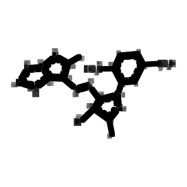 Cc1nn(-c2cc(S(=O)(=O)O)ccc2S(=O)(=O)O)c(N=Nc2c(C)nn3nn[nH]c23)c1Br